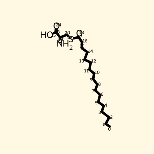 CCCCCCCCCCCCCCCCCC(=O)SC[C@H](N)C(=O)O